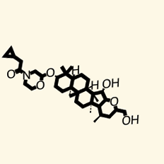 C[C@@H]1CC(CO)OC2C1[C@@]1(C)CCC34C[C@@]35CC[C@H](OC3CN(C(=O)CC6CC6)CCO3)C(C)(C)[C@@H]5CC[C@H]4[C@]1(C)[C@H]2O